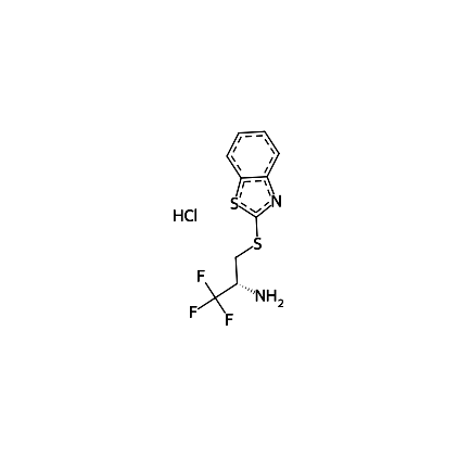 Cl.N[C@@H](CSc1nc2ccccc2s1)C(F)(F)F